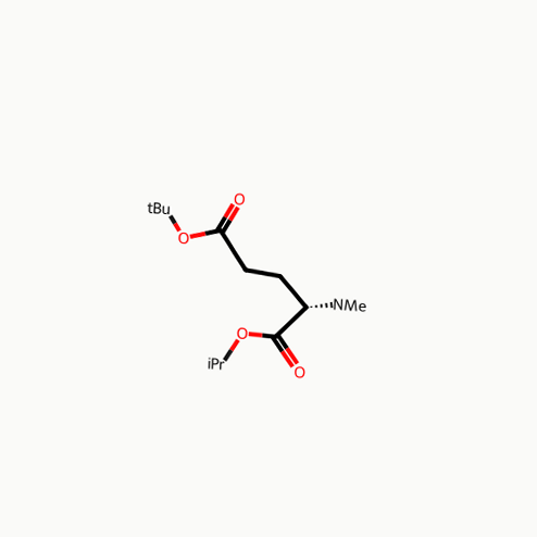 CN[C@@H](CCC(=O)OC(C)(C)C)C(=O)OC(C)C